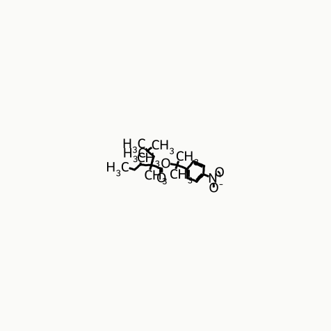 CCC(C)C(C)(CC(C)(C)C)C(=O)OC(C)(C)c1ccc([N+](=O)[O-])cc1